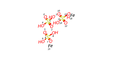 O=S(=O)(O)O.O=S(=O)(O)O.O=S(=O)(O)O.[Fe].[Fe]